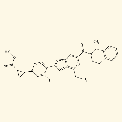 CCc1cc(C(=O)N2CCc3ccccc3[C@H]2C)cc2cc(-c3ccc([C@H]4C[C@@H]4C(=O)OC)cc3F)cn12